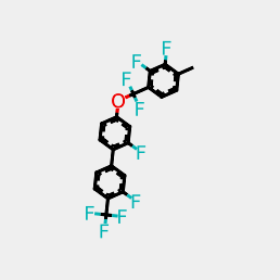 Cc1ccc(C(F)(F)Oc2ccc(-c3ccc(C(F)(F)F)c(F)c3)c(F)c2)c(F)c1F